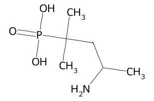 CC(N)CC(C)(C)P(=O)(O)O